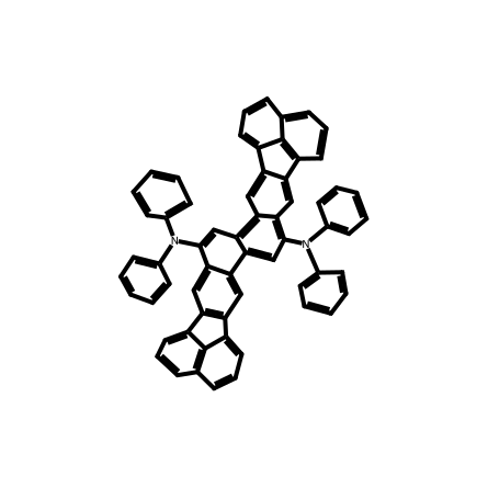 c1ccc(N(c2ccccc2)c2cc3c4cc5c(cc4c(N(c4ccccc4)c4ccccc4)cc3c3cc4c(cc23)-c2cccc3cccc-4c23)-c2cccc3cccc-5c23)cc1